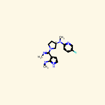 C=Nc1[nH]ccc1/C(=N\C)N1CC[C@@H](N(C)c2ccc(F)cn2)C1